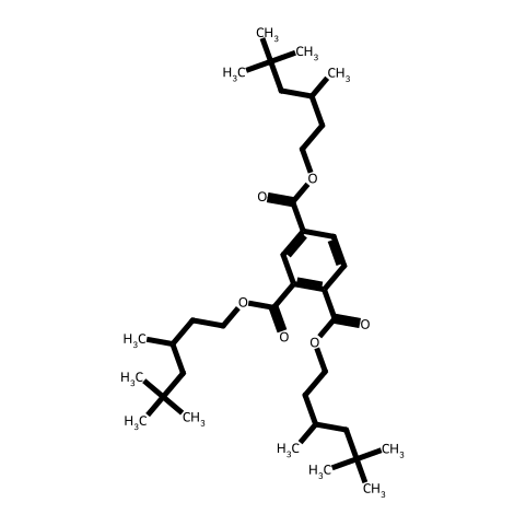 CC(CCOC(=O)c1ccc(C(=O)OCCC(C)CC(C)(C)C)c(C(=O)OCCC(C)CC(C)(C)C)c1)CC(C)(C)C